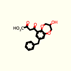 O=C(O)C(=O)CC(=O)c1cc(Cc2ccccc2)cc2c1OCC(O)CO2